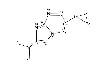 CC(C)c1cn2cc(C3CC3)cnc2n1